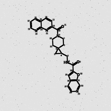 O=C(NCC1CC12CCN(C(=O)c1ccc3cccnc3n1)CC2)c1cc2ccncc2o1